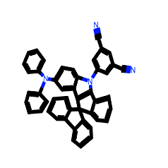 N#Cc1cc(C#N)cc(-n2c3c(c4cc(N(c5ccccc5)c5ccccc5)ccc42)C2(c4ccccc4-c4ccccc42)c2ccccc2-3)c1